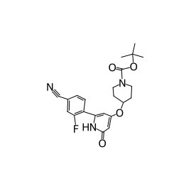 CC(C)(C)OC(=O)N1CCC(Oc2cc(-c3ccc(C#N)cc3F)[nH]c(=O)c2)CC1